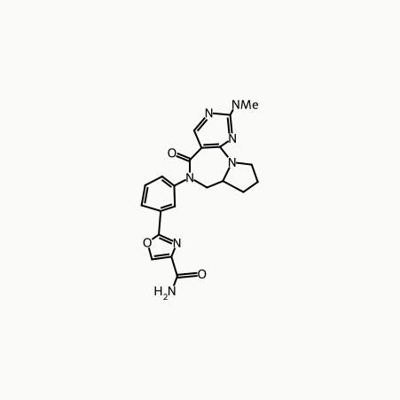 CNc1ncc2c(n1)N1CCCC1CN(c1cccc(-c3nc(C(N)=O)co3)c1)C2=O